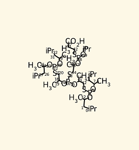 CC(C)CC(C)OP(OC(C)CC(C)C)SCC(C)OP(OC(C)CSP(OC(C)CC(C)C)OC(C)CC(C)C)SCC(C)OP(OC(C)C)SCCC(=O)O